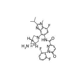 CC(C)c1nc2c(N3C[C@@H]4[C@H](N)[C@@H]4C3)c(NC(=O)c3ccc(=O)n(-c4c(F)cccc4F)n3)cc(F)c2n1C